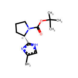 Bc1c[nH]c([C@@H]2CCCN2C(=O)OC(C)(C)C)n1